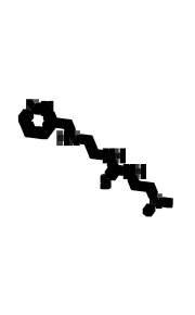 CN(C)CCNC(=S)NCCNCc1cccnn1